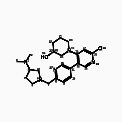 CN(C)C1CCN(Cc2ccc(-c3cnc(Cl)cc3N3CCC[C@H](O)C3)cn2)C1